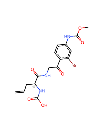 C=CC[C@H](NC(=O)O)C(=O)NCC(=O)c1ccc(NC(=O)OC)cc1Br